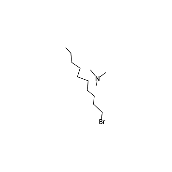 CCCCCCCCCCBr.CN(C)C